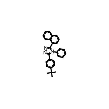 CC(C)(C)c1ccc(-c2nnc(-c3cccc4ccccc34)n2-c2ccccc2)cc1